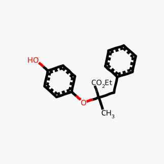 CCOC(=O)C(C)(Cc1ccccc1)Oc1ccc(O)cc1